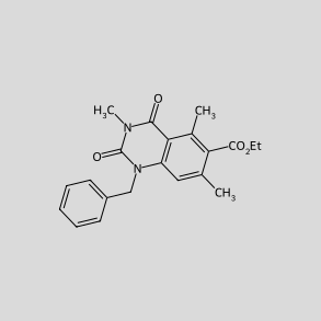 CCOC(=O)c1c(C)cc2c(c1C)c(=O)n(C)c(=O)n2Cc1ccccc1